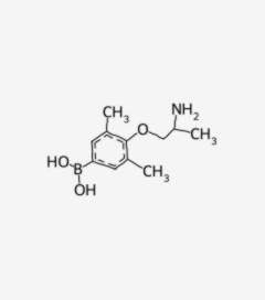 Cc1cc(B(O)O)cc(C)c1OCC(C)N